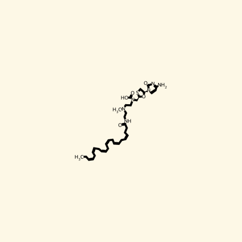 CC/C=C\C/C=C\C/C=C\C/C=C\C/C=C\C/C=C\CCC(=O)NCCN(C)CCN(C[C@@H]1O[C@H](n2ccc(N)nc2=O)CS1)C(=O)O